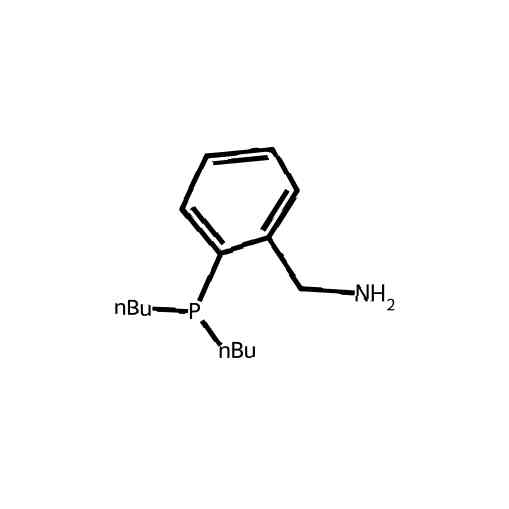 CCCCP(CCCC)c1ccccc1CN